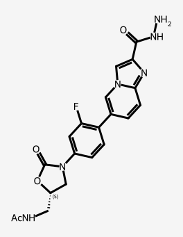 CC(=O)NC[C@H]1CN(c2ccc(-c3ccc4nc(C(=O)NN)cn4c3)c(F)c2)C(=O)O1